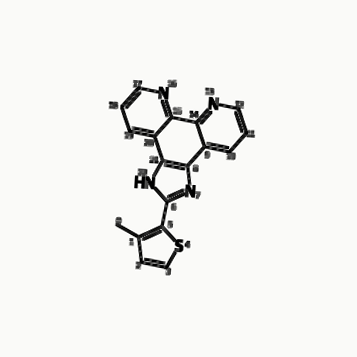 Cc1ccsc1-c1nc2c3cccnc3c3ncccc3c2[nH]1